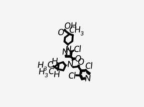 CC1(C)[C@@H]2C[C@H](N(CC(=O)c3c(Cl)cncc3Cl)C(=O)c3cnn([C@H]4CC[C@](C)(C(=O)O)CC4)c3Cl)C[C@@H]21